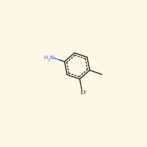 C[CH]c1cc(N)ccc1C